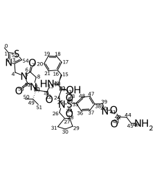 Cc1nc(CN2C(=O)CN([C@H](C(=O)N[C@@H](Cc3ccccc3)[C@@H](O)CN(CC3CCCC3)S(=O)(=O)c3ccc(C=NOC(=O)CCN)cc3)C(C)C)C2=O)cs1